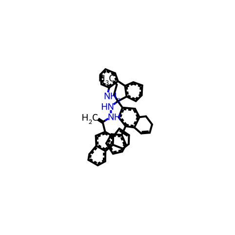 C=C(NNC(CCC)(c1cc2c(c(-c3ccccc3)c1)C=CCC2)c1ccccc1-c1ccccc1N)c1cc2ccccc2c2c1C=CCC2